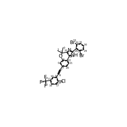 CC1(C)Oc2cc(C#Cc3cc(C(F)(F)F)ccc3Cl)ccc2-c2[nH]c(-c3c(Br)cccc3Br)nc21